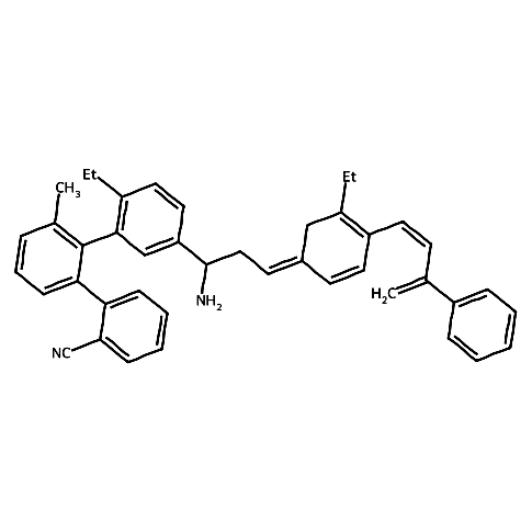 C=C(/C=C\C1=C(CC)C/C(=C\CC(N)c2ccc(CC)c(-c3c(C)cccc3-c3ccccc3C#N)c2)C=C1)c1ccccc1